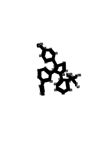 N#Cc1cccc(-c2c(-c3ccc(Cl)cc3)ccn2-c2ccccc2C(F)(F)F)c1